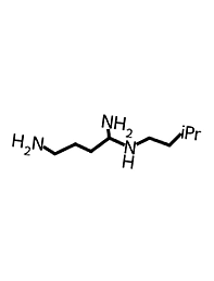 CC(C)CCNC(N)CCCN